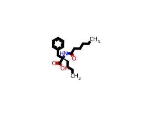 CCCCCC(=O)N[C@@](CCCC)(Cc1ccccc1)C(=O)O